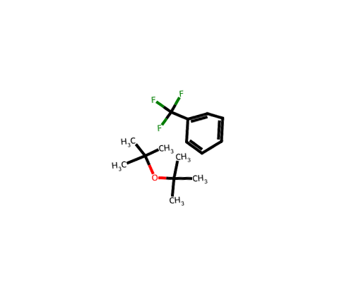 CC(C)(C)OC(C)(C)C.FC(F)(F)c1ccccc1